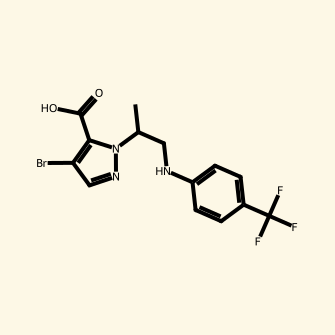 CC(CNc1ccc(C(F)(F)F)cc1)n1ncc(Br)c1C(=O)O